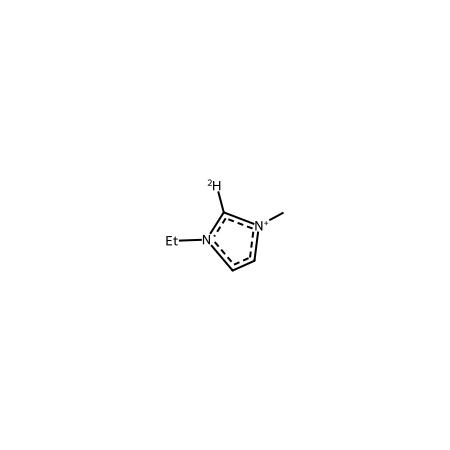 [2H]c1n(CC)cc[n+]1C